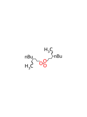 CC=CC(CCCC)CCCOC(=O)OCCCC(C=CC)CCCC